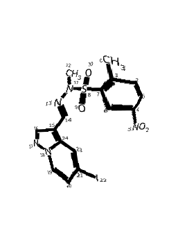 Cc1ccc([N+](=O)[O-])cc1S(=O)(=O)N(C)N=Cc1cnn2ccc(I)cc12